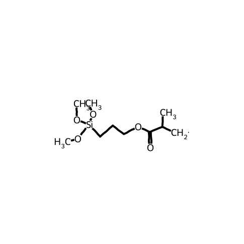 [CH2]C(C)C(=O)OCCC[Si](OC)(OC)OC